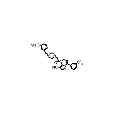 COc1cccc(CN2CCN(CC(=O)N3CC=C(c4cccc(C(F)(F)F)c4)n4ncc(C#N)c43)CC2)c1